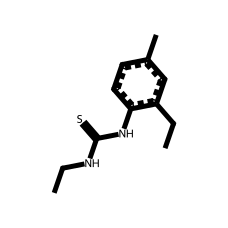 CCNC(=S)Nc1ccc(C)cc1CC